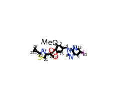 COc1cc(Cn2cnc3cc(I)cnc32)cc2c1OC(c1csc(C3CC3)n1)CO2